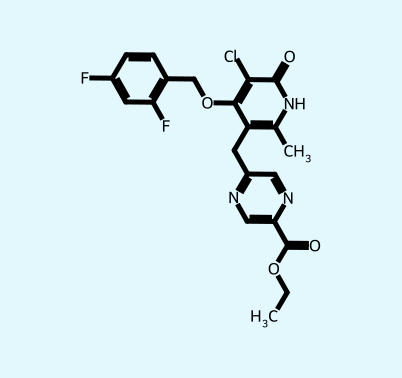 CCOC(=O)c1cnc(Cc2c(C)[nH]c(=O)c(Cl)c2OCc2ccc(F)cc2F)cn1